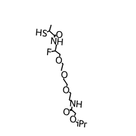 CC(C)OCC(=O)NCCOCCOCCOCC(F)CNC(=O)C(C)S